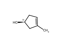 CC1=CC[C@H](O)C1